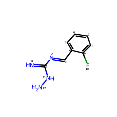 N=C(N=Cc1ccccc1F)NN